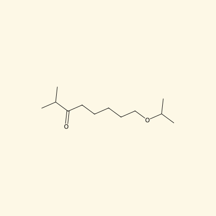 CC(C)OCCCCCC(=O)C(C)C